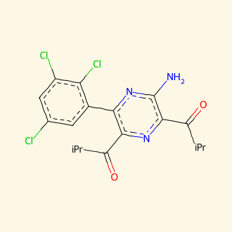 CC(C)C(=O)c1nc(C(=O)C(C)C)c(-c2cc(Cl)cc(Cl)c2Cl)nc1N